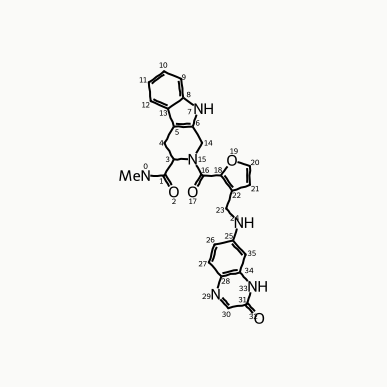 CNC(=O)C1Cc2c([nH]c3ccccc23)CN1C(=O)c1occc1CNc1ccc2ncc(=O)[nH]c2c1